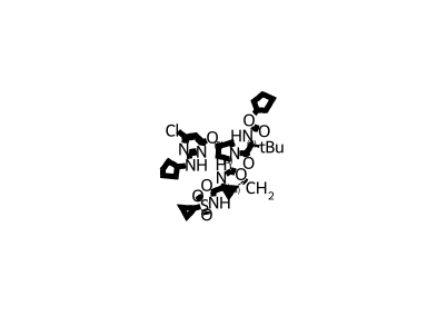 C=C[C@@H]1C[C@]1(NC(=O)[C@@H]1C[C@@H](Oc2cc(Cl)nc(NC3CCCC3)n2)CN1C(=O)[C@@H](NC(=O)OC1CCCC1)C(C)(C)C)C(=O)NS(=O)(=O)C1CC1